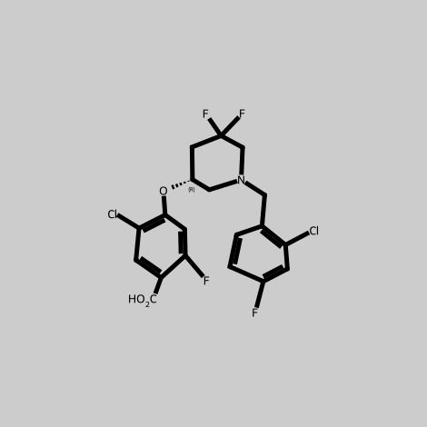 O=C(O)c1cc(Cl)c(O[C@H]2CN(Cc3ccc(F)cc3Cl)CC(F)(F)C2)cc1F